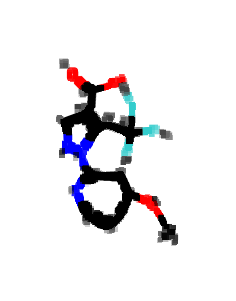 COc1ccnc(-n2ncc(C(=O)O)c2C(F)(F)F)c1